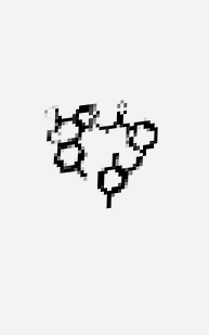 Cc1ccc(C)c(CN2CC=CN(C(=O)Cn3ncc4c(=O)oc5ccc(C)cc5c43)C2)c1